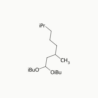 CC(C)CCCC(C)CC(OCC(C)C)OCC(C)C